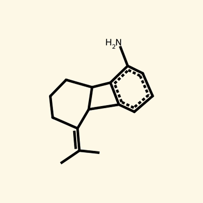 CC(C)=C1CCCC2c3c(N)cccc3C12